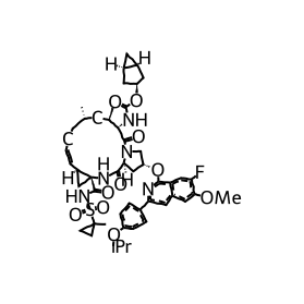 COc1cc2cc(-c3ccc(OC(C)C)cc3)nc(O[C@@H]3C[C@H]4C(=O)N[C@]5(C(=O)NS(=O)(=O)C6(C)CC6)C[C@H]5/C=C\CC[C@H](C)C[C@@H](C)[C@H](NC(=O)O[C@@H]5C[C@@H]6C[C@@H]6C5)C(=O)N4C3)c2cc1F